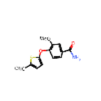 COc1cc(C(N)=O)ccc1Oc1ccc(C=O)s1